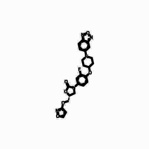 O=C1O[C@@H](COc2ccon2)CN1c1ccc(OC2CCN(c3ccc4nonc4c3)CC2)c(F)c1